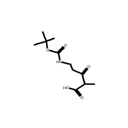 CC(C(=O)O)C(=O)CCNC(=O)OC(C)(C)C